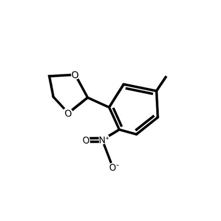 Cc1ccc([N+](=O)[O-])c(C2OCCO2)c1